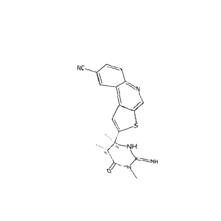 C[C@H]1C(=O)N(C)C(=N)N[C@]1(C)c1cc2c(cnc3ccc(C#N)cc32)s1